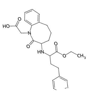 CCOC(=O)C(CCc1ccccc1)NC1CCCc2ccccc2N(CC(=O)O)C1=O